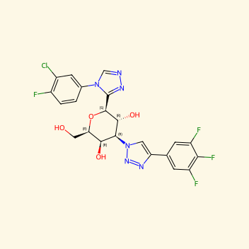 OC[C@H]1O[C@@H](c2nncn2-c2ccc(F)c(Cl)c2)[C@H](O)[C@@H](n2cc(-c3cc(F)c(F)c(F)c3)nn2)[C@H]1O